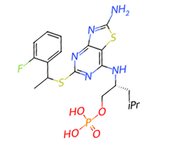 CC(C)C[C@H](COP(=O)(O)O)Nc1nc(SC(C)c2ccccc2F)nc2nc(N)sc12